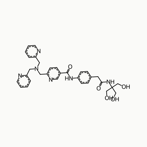 O=C(Cc1ccc(NC(=O)c2ccc(CN(Cc3ccccn3)Cc3ccccn3)nc2)cc1)NC(CO)(CO)CO